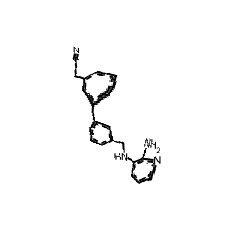 N#CCc1cccc(-c2cccc(CNc3cccnc3N)c2)c1